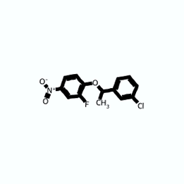 CC(Oc1ccc([N+](=O)[O-])cc1F)c1cccc(Cl)c1